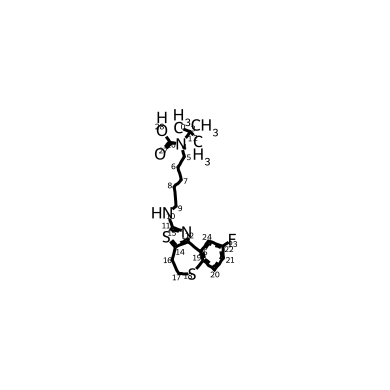 CC(C)(C)N(CCCCCNc1nc2c(s1)CCSc1ccc(F)cc1-2)C(=O)O